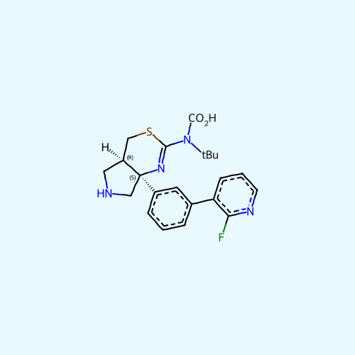 CC(C)(C)N(C(=O)O)C1=N[C@@]2(c3cccc(-c4cccnc4F)c3)CNC[C@H]2CS1